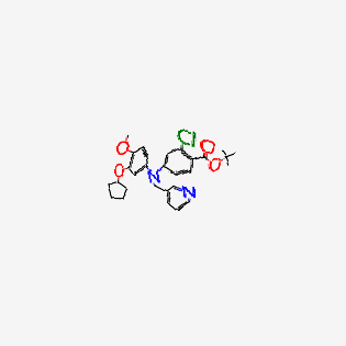 COc1ccc(N(Cc2cccnc2)c2ccc(C(=O)OC(C)(C)C)c(Cl)c2)cc1OC1CCCC1